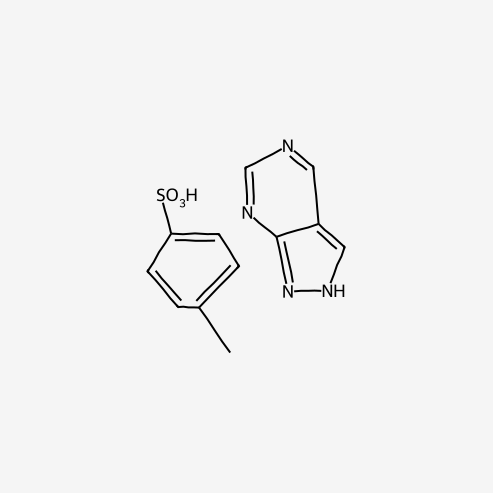 Cc1ccc(S(=O)(=O)O)cc1.c1ncc2c[nH]nc2n1